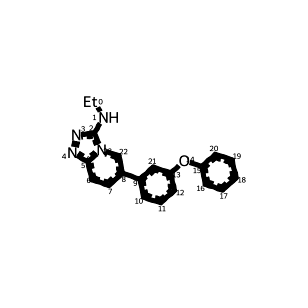 CCNc1nnc2ccc(-c3cccc(Oc4ccccc4)c3)cn12